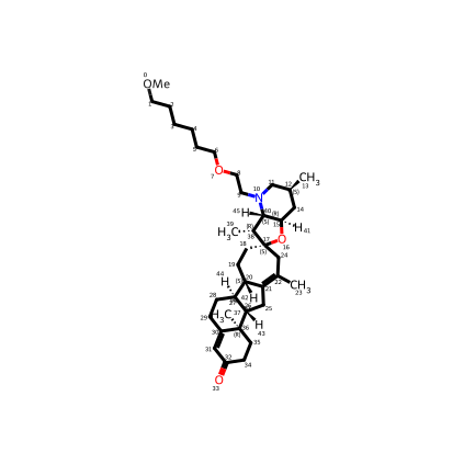 COCCCCCCOCCN1C[C@@H](C)C[C@H]2O[C@]3(CC[C@@H]4C(=C(C)C3)C[C@H]3[C@H]4CCC4=CC(=O)CC[C@@]43C)[C@H](C)[C@@H]21